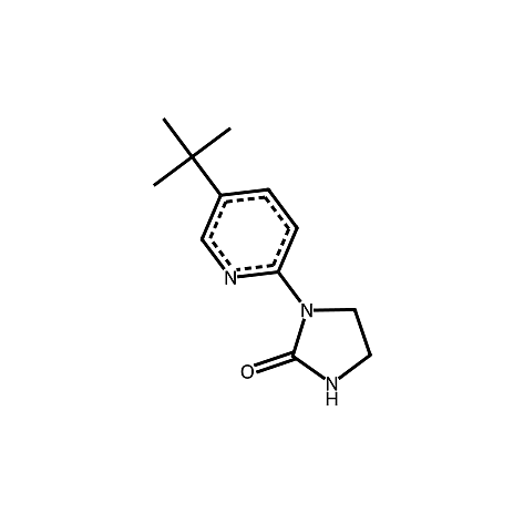 CC(C)(C)c1ccc(N2CCNC2=O)nc1